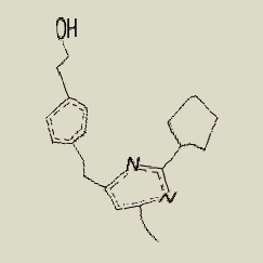 Cc1cc(Cc2ccc(CCO)cc2)nc(C2CCCC2)n1